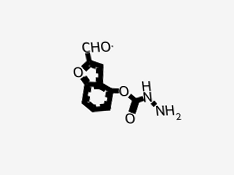 NNC(=O)Oc1cccc2oc([C]=O)cc12